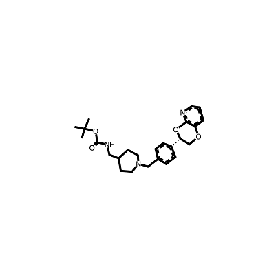 CC(C)(C)OC(=O)NCC1CCN(Cc2ccc([C@H]3COc4cccnc4O3)cc2)CC1